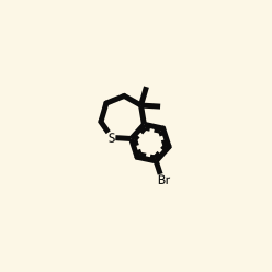 CC1(C)CCCSc2cc(Br)ccc21